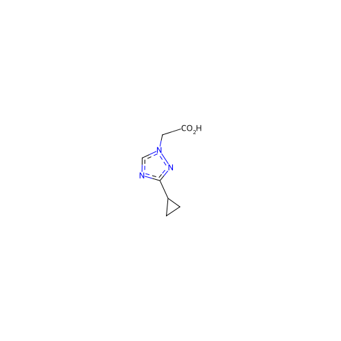 O=C(O)Cn1cnc(C2CC2)n1